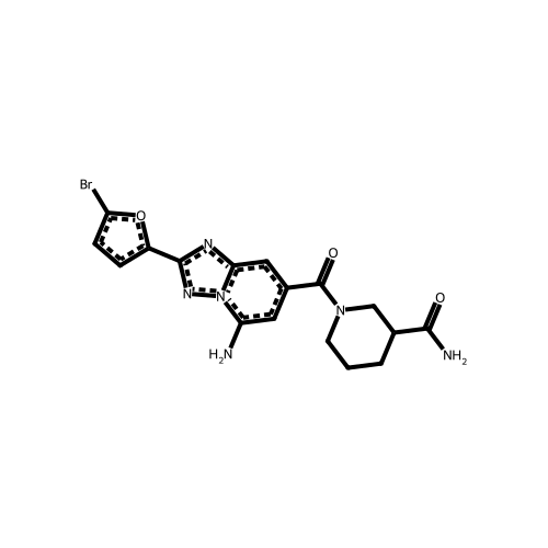 NC(=O)C1CCCN(C(=O)c2cc(N)n3nc(-c4ccc(Br)o4)nc3c2)C1